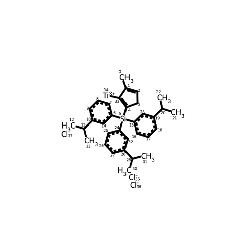 CC1=CCC([Si](c2cccc(C(C)C)c2)(c2cccc(C(C)C)c2)c2cccc(C(C)C)c2)=[C]1[Ti+3].[Cl-].[Cl-].[Cl-]